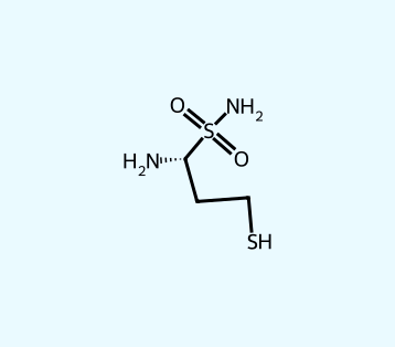 N[C@@H](CCS)S(N)(=O)=O